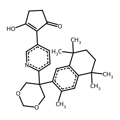 Cc1cc2c(cc1C1(c3ccc(C4=C(O)CCC4=O)cn3)COCOC1)C(C)(C)CCC2(C)C